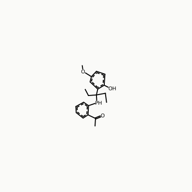 CCC(CC)(Pc1ccccc1C(C)=O)c1cc(OC)ccc1O